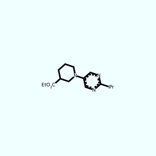 CCOC(=O)C1CCCN(c2cnc(C(C)C)nc2)C1